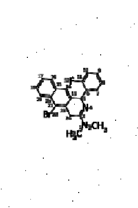 CN(C)C1=NC(c2ccccc2F)c2cc3ccccc3c(Br)c2C1